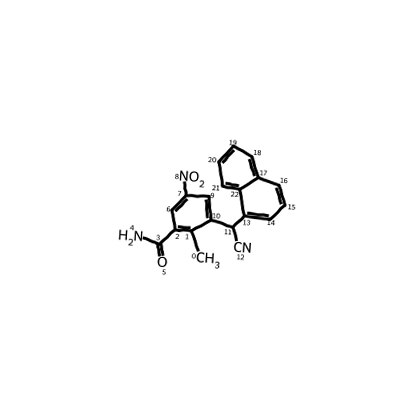 Cc1c(C(N)=O)cc([N+](=O)[O-])cc1C(C#N)c1cccc2ccccc12